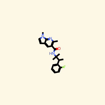 Cc1nc2c(ccn2C)cc1C(=O)NC(C)(C)C(C)c1ccccc1F